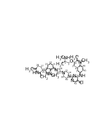 C=C(COC1=Cc2cc(Nc3nc(N4CCN(C5CN(c6cccc7c(C8CCC(=C)NC8=C)nn(C)c67)C5)CC4)ncc3Cl)ccc2N(C)C1=C)NC